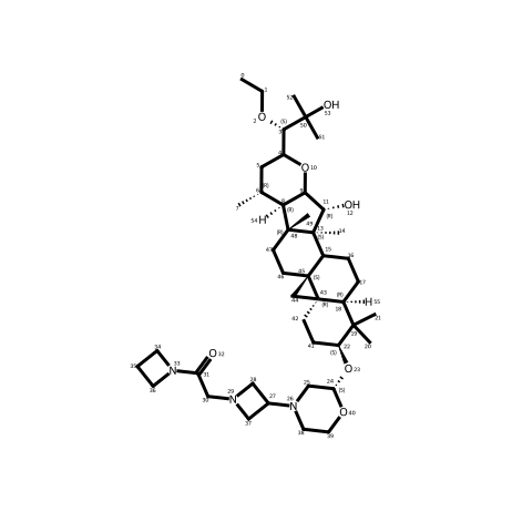 CCO[C@@H](C1C[C@@H](C)[C@H]2C(O1)[C@H](O)[C@@]1(C)C3CC[C@H]4C(C)(C)[C@@H](O[C@H]5CN(C6CN(CC(=O)N7CCC7)C6)CCO5)CC[C@@]45C[C@@]35CC[C@]21C)C(C)(C)O